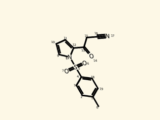 Cc1ccc(S(=O)(=O)n2cccc2C(=O)CC#N)cc1